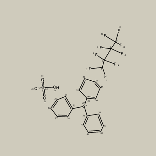 FC(F)C(F)(F)C(F)(F)C(F)(F)F.O=S(=O)([O-])O.c1ccc([S+](c2ccccc2)c2ccccc2)cc1